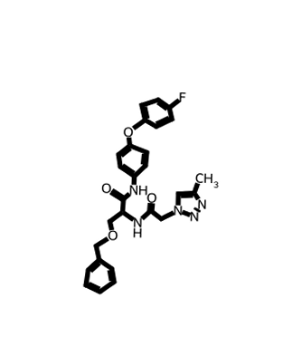 Cc1cn(CC(=O)NC(COCc2ccccc2)C(=O)Nc2ccc(Oc3ccc(F)cc3)cc2)nn1